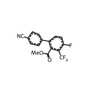 COC(=O)c1c(-c2ccc(C#N)cc2)ccc(F)c1C(F)(F)F